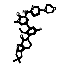 CCc1c(-c2cc(Nc3ccc(N4CCOCC4)cn3)c(=O)n(C)c2)cc(F)cc1N1CCc2c(sc3c2CC(C)(C)C3)C1=O